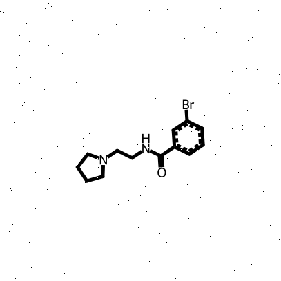 O=C(NCCN1CCCC1)c1cccc(Br)c1